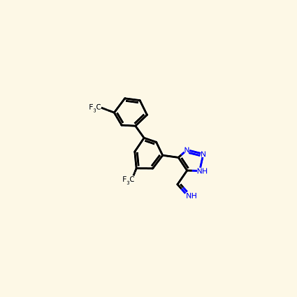 N=Cc1[nH]nnc1-c1cc(-c2cccc(C(F)(F)F)c2)cc(C(F)(F)F)c1